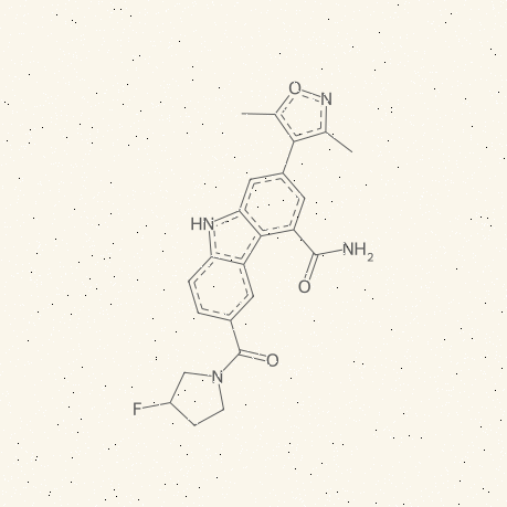 Cc1noc(C)c1-c1cc(C(N)=O)c2c(c1)[nH]c1ccc(C(=O)N3CCC(F)C3)cc12